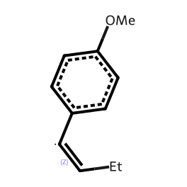 CC/C=[C]\c1ccc(OC)cc1